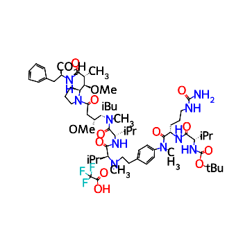 CC[C@H](C)[C@@H]([C@@H](CC(=O)N1CCC[C@H]1[C@H](OC)[C@@H](C)C(=O)N[C@@H](Cc1ccccc1)C(=O)O)OC)N(C)C(=O)[C@@H](NC(=O)[C@H](C(C)C)N(C)CCc1ccc(N(C)C(=O)[C@H](CCCNC(N)=O)NC(=O)[C@@H](NC(=O)OC(C)(C)C)C(C)C)cc1)C(C)C.O=C(O)C(F)(F)F